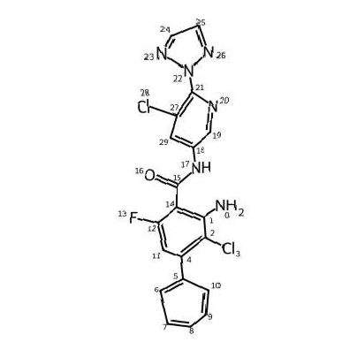 Nc1c(Cl)c(-c2ccccc2)cc(F)c1C(=O)Nc1cnc(-n2nccn2)c(Cl)c1